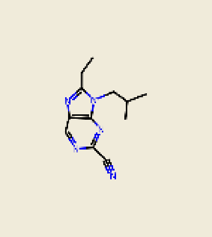 CCc1nc2cnc(C#N)nc2n1CC(C)C